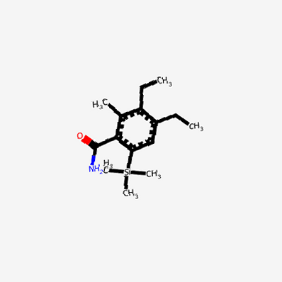 CCc1cc([Si](C)(C)C)c(C(N)=O)c(C)c1CC